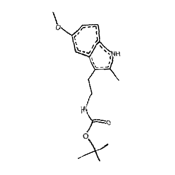 COc1ccc2[nH]c(C)c(CCNC(=O)OC(C)(C)C)c2c1